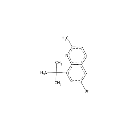 Cc1ccc2cc(Br)cc(C(C)(C)C)c2n1